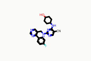 N#Cc1cnc(NCc2cncnc2-c2ccc(F)cc2)nc1NC1CCC(O)CC1